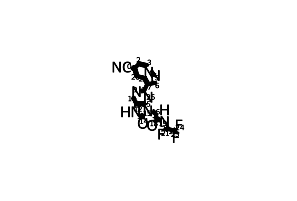 N#Cc1ccn2ncc(-c3ncc4[nH]c(=O)n(CC(=O)NC(F)C(F)F)c4n3)c2c1